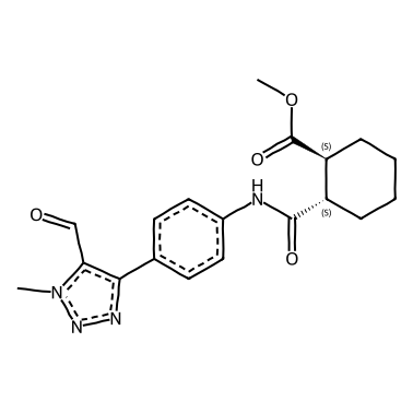 COC(=O)[C@H]1CCCC[C@@H]1C(=O)Nc1ccc(-c2nnn(C)c2C=O)cc1